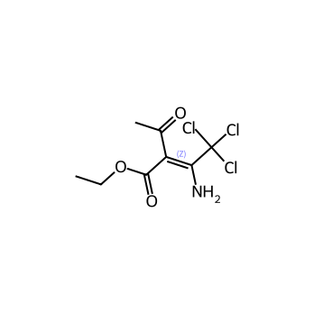 CCOC(=O)/C(C(C)=O)=C(\N)C(Cl)(Cl)Cl